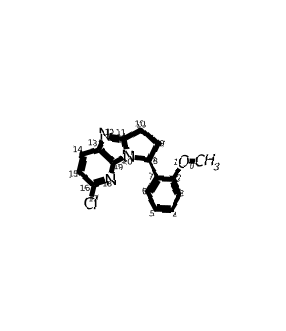 COc1ccccc1[C@@H]1CCc2nc3ccc(Cl)nc3n21